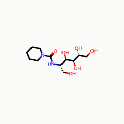 O=C(N[C@@H](CO)[C@@H](O)[C@H](O)[C@H](O)CO)N1CCCCC1